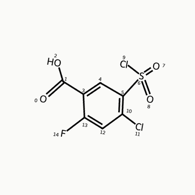 O=C(O)c1cc(S(=O)(=O)Cl)c(Cl)cc1F